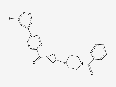 O=C(c1ccccc1)N1CCN(C2CN(C(=O)c3ccc(-c4cccc(F)c4)cc3)C2)CC1